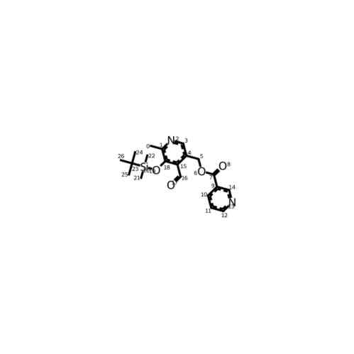 Cc1ncc(COC(=O)c2cccnc2)c(C=O)c1O[Si](C)(C)C(C)(C)C